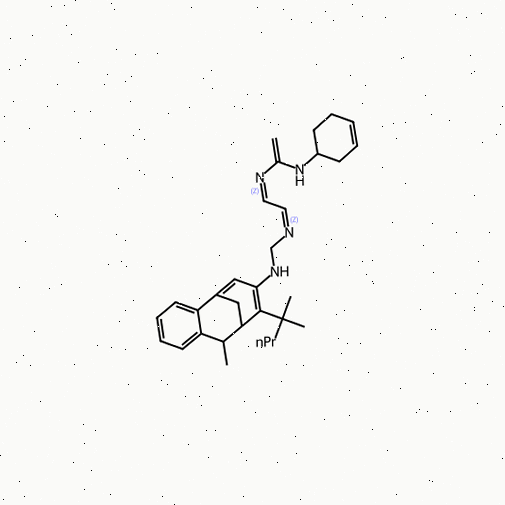 C=C(/N=C\C=N/CNC1=C(C(C)(C)CCC)C2CC(=C1)c1ccccc1C2C)NC1CC=CCC1